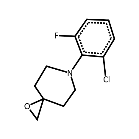 Fc1cccc(Cl)c1N1CCC2(CC1)CO2